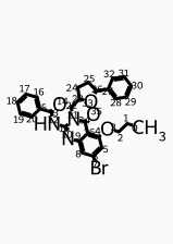 CCCOc1cc(Br)cc2nc(NC(=O)c3ccccc3)n(CC3CCC(c4ccccc4)O3)c(=O)c12